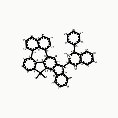 CC1(C)c2cccc3c2-c2c(cc4c(c21)c1ccccc1n4-c1nc(-c2ccccc2)c2ccccc2n1)-c1cccc2cccc-3c12